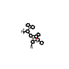 N#Cc1ccc(-n2c3ccccc3c3cc(-c4cc(-n5c6ccccc6c6ccccc65)cc(C(F)(F)F)c4)ccc32)c(-c2nc(-c3ccccc3)cc(-c3ccccc3)n2)c1